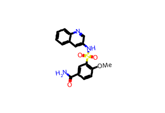 COc1ccc(C(N)=O)cc1S(=O)(=O)Nc1cnc2ccccc2c1